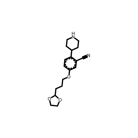 N#Cc1cc(OCCCC2OCCO2)ccc1C1CCNCC1